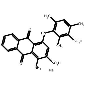 Cc1cc(C)c(S(=O)(=O)O)c(C)c1Nc1cc(S(=O)(=O)O)c(N)c2c1C(=O)c1ccccc1C2=O.[Na]